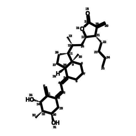 C=C1/C(=C\C=C2/CCC[C@]3(C)[C@@H]([C@H](C)C[C@H]4OC(=O)C(=C)[C@@H]4CCCC)CC[C@@H]23)C[C@@H](O)[C@H](C)[C@@H]1O